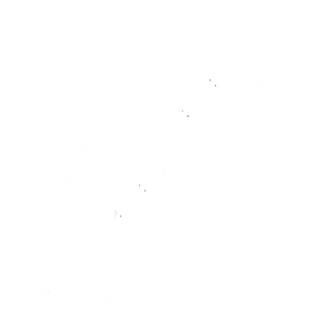 C=C1CC2C(CCc3cccc4c3-c3n(cc[n+]31)-c1c(cc(C(C)C)c3oc5ccccc5c13)C4C)c1cccc3c1-c1n(cc[n+]12)-c1c(C(C)C)cccc1C3C